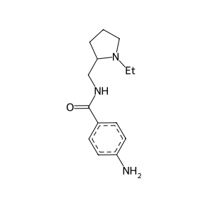 CCN1CCCC1CNC(=O)c1ccc(N)cc1